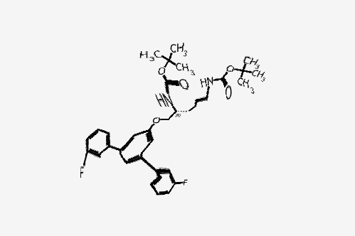 CC(C)(C)OC(=O)NCCC[C@H](COc1cc(-c2cccc(F)c2)cc(-c2cccc(F)c2)c1)NC(=O)OC(C)(C)C